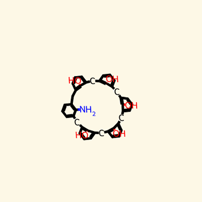 Nc1c2cccc1Cc1cccc(c1O)Cc1cccc(c1O)Cc1cccc(c1O)Cc1cccc(c1O)Cc1cccc(c1O)C2